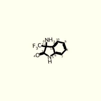 NC1(C(F)(F)F)C(=O)Nc2ccccc21